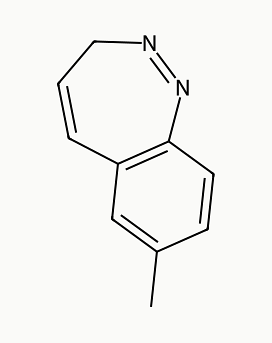 Cc1ccc2c(c1)C=CCN=N2